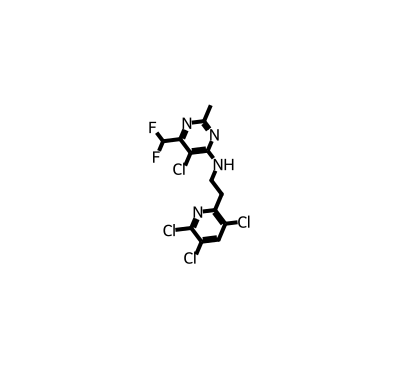 Cc1nc(NCCc2nc(Cl)c(Cl)cc2Cl)c(Cl)c(C(F)F)n1